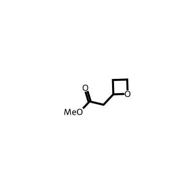 COC(=O)CC1CCO1